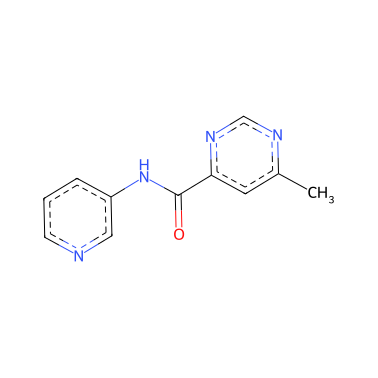 Cc1cc(C(=O)Nc2cccnc2)ncn1